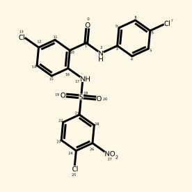 O=C(Nc1ccc(Cl)cc1)c1cc(Cl)ccc1NS(=O)(=O)c1ccc(Cl)c([N+](=O)[O-])c1